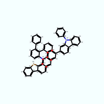 c1ccc(-c2ccccc2-c2c(-c3ccccc3)cccc2N(c2ccc(-c3ccc4c5ccccc5n(-c5ccccc5)c4c3)cc2)c2cccc3c2sc2ccccc23)cc1